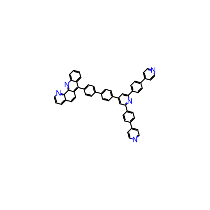 c1cnc2c(c1)ccc1c(-c3ccc(-c4ccc(-c5cc(-c6ccc(-c7ccncc7)cc6)nc(-c6ccc(-c7ccncc7)cc6)c5)cc4)cc3)c3ccccc3nc12